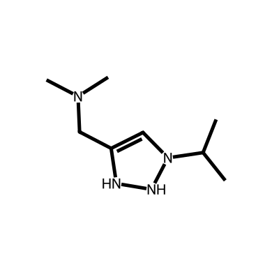 CC(C)N1C=C(CN(C)C)NN1